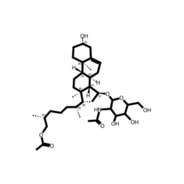 CC(=O)NC1C(O[C@H]2C[C@H]([C@H](C)CCC[C@@H](C)COC(C)=O)[C@@]3(C)CC[C@H]4[C@@H](CC=C5C[C@@H](O)CC[C@@]54C)[C@H]23)OC(CO)C(O)C1O